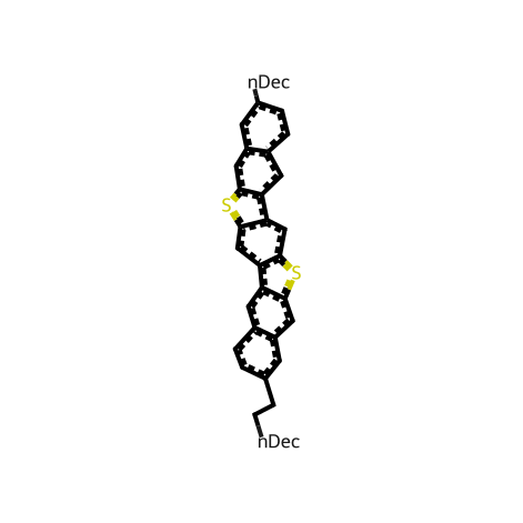 CCCCCCCCCCCCc1ccc2cc3c(cc2c1)sc1cc2c(cc13)sc1cc3cc(CCCCCCCCCC)ccc3cc12